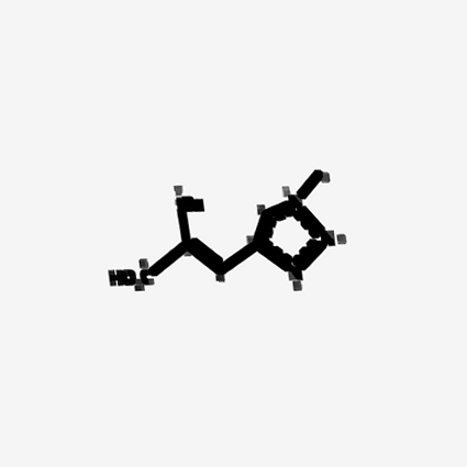 Cn1cc(/C=C(/C(=O)O)C(C)(C)C)nn1